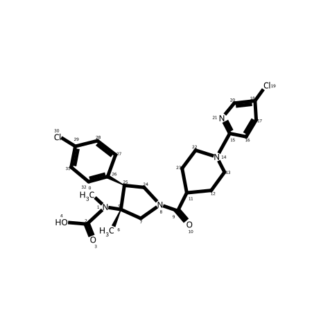 CN(C(=O)O)[C@@]1(C)CN(C(=O)C2CCN(c3ccc(Cl)cn3)CC2)C[C@@H]1c1ccc(Cl)cc1